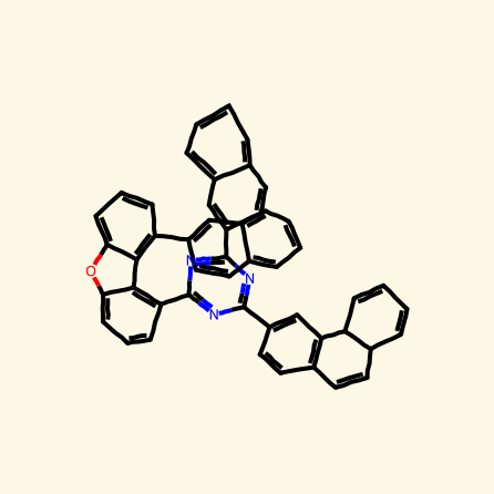 C1=CC2C=Cc3ccc(-c4nc(-c5ccc6ccccc6c5)nc(-c5cccc6oc7cccc(-c8ccc9ccccc9c8)c7c56)n4)cc3C2C=C1